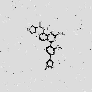 COc1cc(-c2cnn(C)c2)ccc1-c1nc(N)nc2c(NC(C)C3CCOC3)nccc12